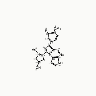 COc1ccc(-c2nc([C@H]3C[C@@H](O)CN3C(C)=O)n3c2cnc2[nH]ccc23)cc1F